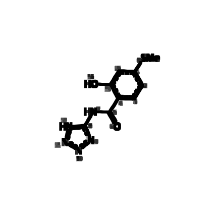 CSc1ccc(C(=O)Nc2nnn[nH]2)c(O)c1